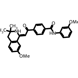 COc1cccc(NC(=O)c2ccc(C(=O)C=C3NC(C)(C)Cc4ccc(OC)cc43)cc2)c1